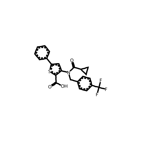 O=C(O)c1sc(-c2ccccc2)cc1N(Cc1ccc(C(F)(F)F)cc1)C(=O)C1CC1